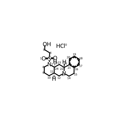 Cl.O=S(=O)(CCO)N1CCC[C@@H]2CN3CCc4ccccc4[C@H]3C[C@@H]21